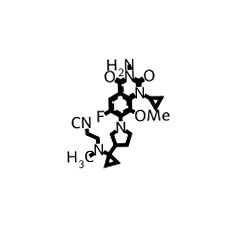 COc1c(N2CCC(C3(N(C)CCC#N)CC3)C2)c(F)cc2c(=O)n(N)c(=O)n(C3CC3)c12